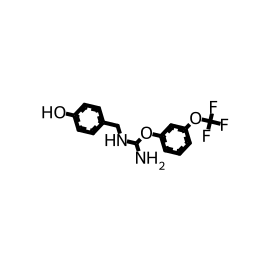 NC(NCc1ccc(O)cc1)Oc1cccc(OC(F)(F)F)c1